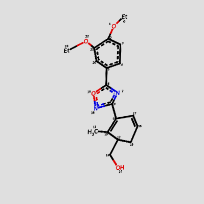 CCOc1ccc(-c2nc(C3=C(C)C(CO)CC=C3)no2)cc1OCC